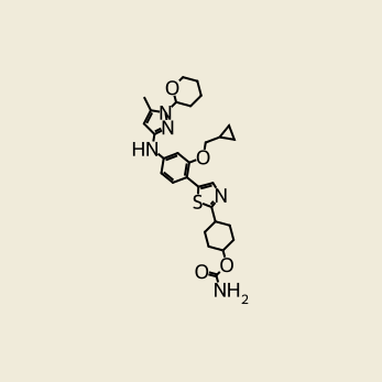 Cc1cc(Nc2ccc(-c3cnc(C4CCC(OC(N)=O)CC4)s3)c(OCC3CC3)c2)nn1C1CCCCO1